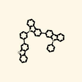 c1ccc(-n2c3ccccc3c3ccc(-c4ccc5c(c4)c4ccccc4n5-c4cccc(-c5ccc6c(c5)oc5ccccc56)c4)cc32)cc1